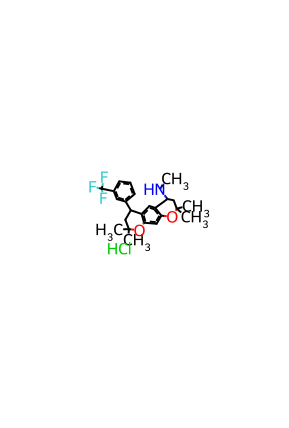 CNC1CC(C)(C)Oc2cc3c(cc21)C(c1cccc(C(F)(F)F)c1)CC(C)(C)O3.Cl